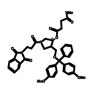 CNC(=O)CCC(=O)O[C@H]1CN(C(=O)CCN2C(=O)c3ccccc3C2=O)CC1COC(c1ccccc1)(c1ccc(OC)cc1)c1ccc(OC)cc1